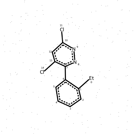 CCc1ccccc1-c1nnc(Cl)cc1Cl